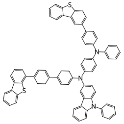 C1=C(C2=CC=C(N(c3ccc(N(c4ccccc4)c4ccc(-c5ccc6sc7ccccc7c6c5)cc4)cc3)c3ccc4c(c3)c3ccccc3n4-c3ccccc3)CC2)CCC(c2cccc3c2sc2ccccc23)=C1